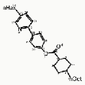 CCCCCCCCC1CCC(C(=O)Oc2ccc(-c3ccc(CCCCCC)cn3)cc2)CC1